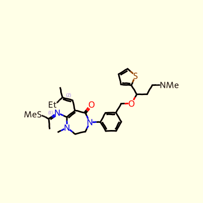 CC/C(C)=C\C1=C(/N=C(\C)SC)N(C)CCN(c2cccc(COC(CCNC)c3cccs3)c2)C1=O